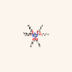 CCCCCOCN(OCCCCC)c1nc(N(OCCCCC)OCCCCC)nc(N(OCCCCC)OCCCCC)n1